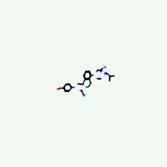 CC(C)c1nnc2n1CCN(c1cccc3c1CCN(C(=O)C(F)(F)F)C3C(=O)Nc1ccc(C(=O)O)cc1)C2